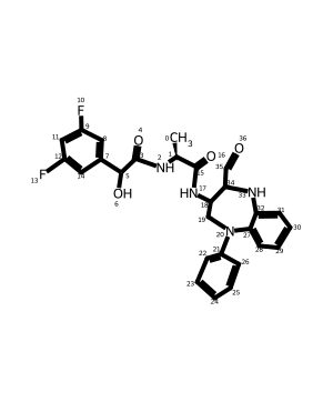 C[C@H](NC(=O)C(O)c1cc(F)cc(F)c1)C(=O)NC1CN(c2ccccc2)c2ccccc2NC1C=O